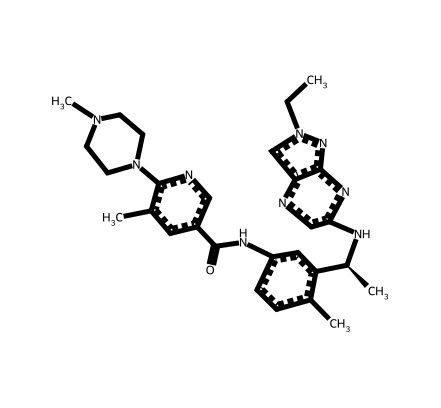 CCn1cc2ncc(N[C@@H](C)c3cc(NC(=O)c4cnc(N5CCN(C)CC5)c(C)c4)ccc3C)nc2n1